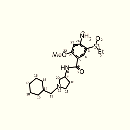 CC[S+]([O-])c1cc(C(=O)NC2CCN(CC3CCCCC3)C2)c(OC)cc1N